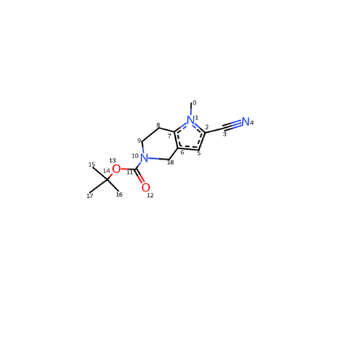 Cn1c(C#N)cc2c1CCN(C(=O)OC(C)(C)C)C2